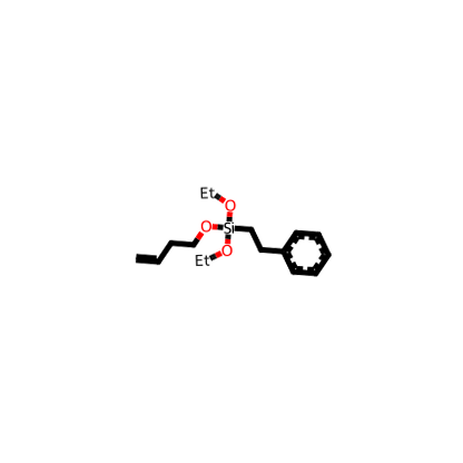 C=CCCO[Si](CCc1ccccc1)(OCC)OCC